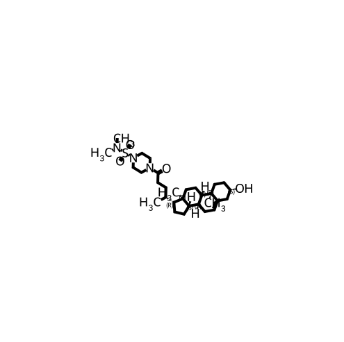 CC(CCC(=O)N1CCN(S(=O)(=O)N(C)C)CC1)[C@H]1CC[C@H]2[C@@H]3CC=C4C[C@@H](O)CC[C@]4(C)[C@H]3CC[C@]12C